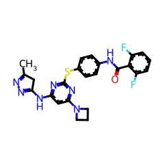 CC1=NN=C(Nc2cc(N3CCC3)nc(Sc3ccc(NC(=O)c4c(F)cccc4F)cc3)n2)C1